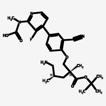 C[C@H](CN)C[C@@](C)(COc1ccc(-c2ccnc(N(C)C(=O)O)c2F)cc1C#N)C(=O)OC(C)(C)C